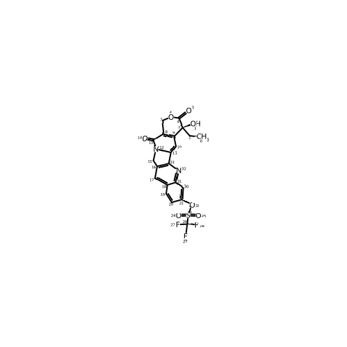 CC[C@@]1(O)C(=O)OCc2c1cc1n(c2=O)Cc2cc3ccc(OS(=O)(=O)C(F)(F)F)cc3nc2-1